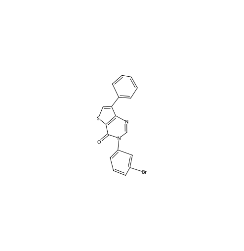 O=c1c2scc(-c3ccccc3)c2ncn1-c1cccc(Br)c1